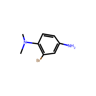 CN(C)c1ccc(N)cc1Br